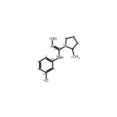 CC1CCCN1/C(=N\O)Nc1cccc(Cl)c1